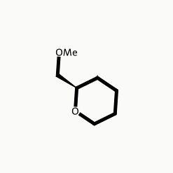 COC[C@H]1[CH]CCCO1